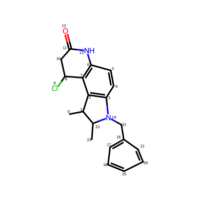 CC1c2c(ccc3c2C(Cl)CC(=O)N3)N(Cc2ccccc2)C1C